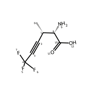 C[C@@H](C#CC(F)(F)F)[C@H](N)C(=O)O